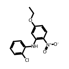 CCOc1ccc([N+](=O)[O-])c(Nc2ccccc2Cl)c1